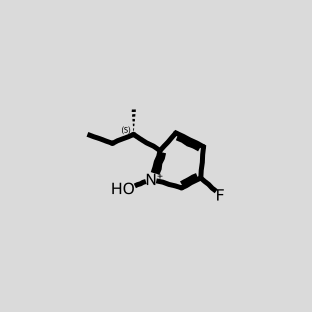 CC[C@H](C)c1ccc(F)c[n+]1O